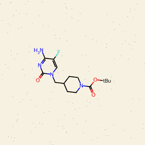 CC(C)(C)OC(=O)N1CCC(Cn2cc(F)c(N)nc2=O)CC1